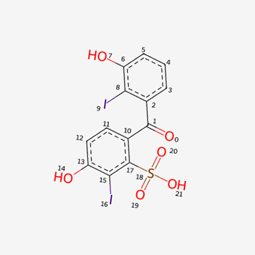 O=C(c1cccc(O)c1I)c1ccc(O)c(I)c1S(=O)(=O)O